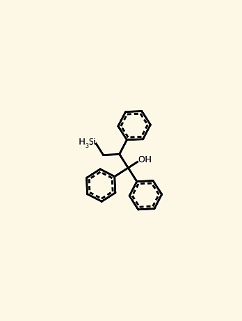 OC(c1ccccc1)(c1ccccc1)C(C[SiH3])c1ccccc1